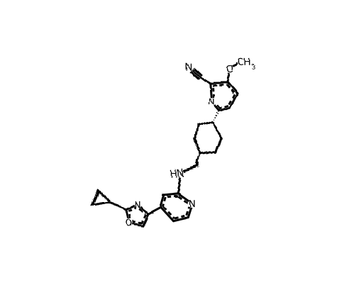 COc1ccc([C@H]2CC[C@H](CNc3cc(-c4coc(C5CC5)n4)ccn3)CC2)nc1C#N